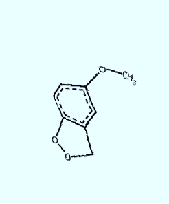 COc1ccc2c(c1)COO2